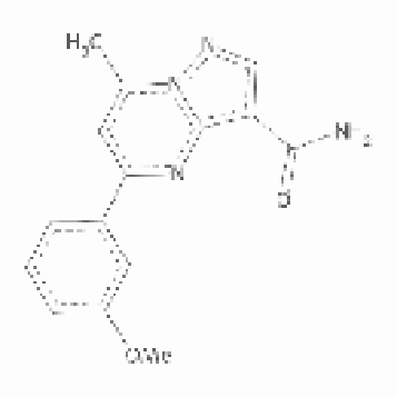 COc1cccc(-c2cc(C)n3ncc(C(N)=O)c3n2)c1